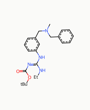 CCNC(=NC(=O)OC(C)(C)C)Nc1cccc(CN(C)Cc2ccccc2)c1